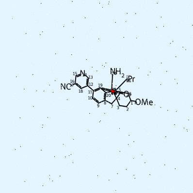 COC1CCC2(CC1)Cc1ccc(-c3cncc(C#N)c3)cc1C21N=C(N)N(C(C)C)C1=O